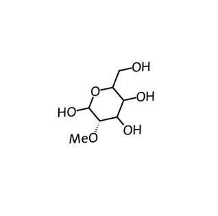 CO[C@@H]1C(O)OC(CO)C(O)C1O